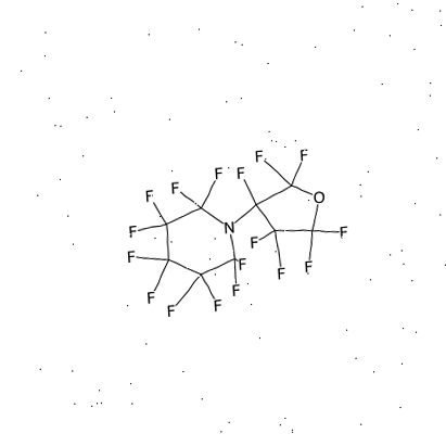 FC1(F)OC(F)(F)C(F)(N2C(F)(F)C(F)(F)C(F)(F)C(F)(F)C2(F)F)C1(F)F